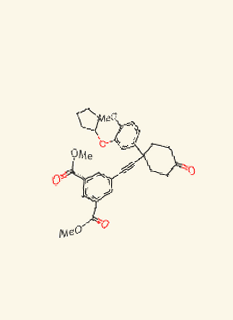 COC(=O)c1cc(C#CC2(c3ccc(OC)c(OC4CCCC4)c3)CCC(=O)CC2)cc(C(=O)OC)c1